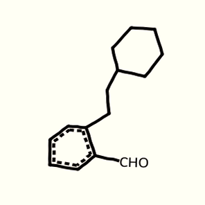 O=Cc1ccccc1CCC1CCCCC1